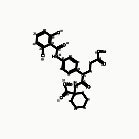 COC(=O)CCN(C(=O)NC1(C(=O)OC)CCCCC1)c1ccc(NC(=O)c2c(Cl)cccc2Cl)cc1